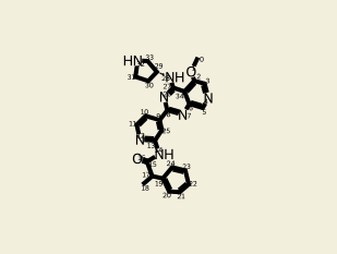 COc1cncc2nc(-c3ccnc(NC(=O)C(C)c4ccccc4)c3)nc(N[C@@H]3CCNC3)c12